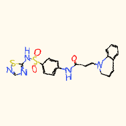 O=C(CCN1CCCc2ccccc21)Nc1ccc(S(=O)(=O)Nc2ncns2)cc1